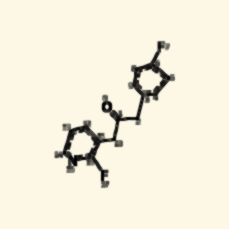 O=C(Cc1ccc(F)cc1)Cc1cccnc1F